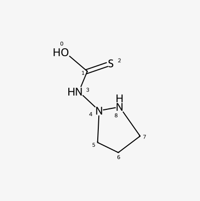 OC(=S)NN1CCCN1